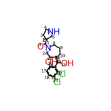 O=C([C@H]1CCNC1)N1CCC[C@@H]([C@@H](O)c2c(O)ccc(Cl)c2Cl)CC1